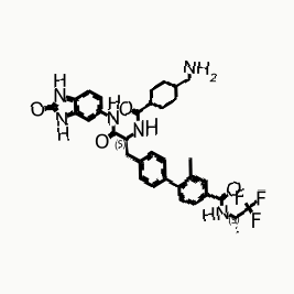 Cc1cc(C(=O)N[C@@H](C)C(F)(F)F)ccc1-c1ccc(C[C@H](NC(=O)C2CCC(CN)CC2)C(=O)Nc2ccc3[nH]c(=O)[nH]c3c2)cc1